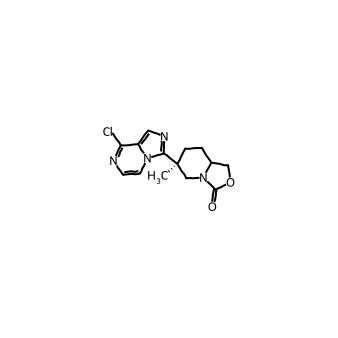 C[C@]1(c2ncc3c(Cl)nccn23)CCC2COC(=O)N2C1